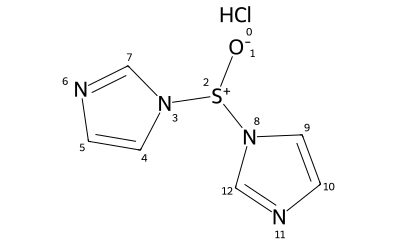 Cl.[O-][S+](n1ccnc1)n1ccnc1